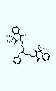 CC1(C)C(=O)N(CCCN(CCCN2C(=O)c3ccccc3C(C)(C)C2=O)Cc2ccccc2)C(=O)c2ccccc21